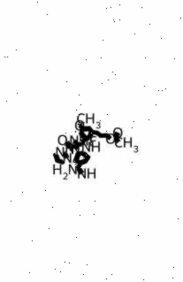 COc1cc(CCCOC(C)=O)c(F)c(C(Nc2ccc(C(=N)N)cc2)c2nn(-c3ncccn3)c(=O)[nH]2)c1